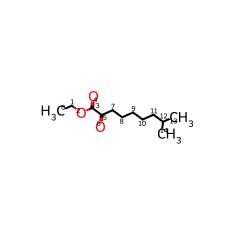 CCOC(=O)C(=O)CCCCCC(C)C